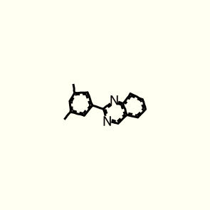 Cc1cc(C)cc(-c2ncc3ccccc3n2)c1